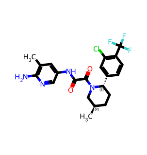 Cc1cc(NC(=O)C(=O)N2C[C@H](C)CC[C@H]2c2ccc(C(F)(F)F)c(Cl)c2)cnc1N